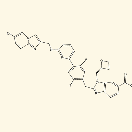 O=C(O)c1ccc2nc(Cc3cc(F)c(-c4cccc(OCc5cn6cc(Cl)ccc6n5)n4)cc3F)n(C[C@@H]3CCO3)c2c1